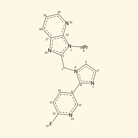 CCCn1c(Cn2ccnc2-c2ccc(F)nc2)nc2cccnc21